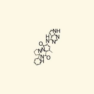 Cc1cc(Nc2ncnc3[nH]ccc23)c(=O)n2c1C(=O)NC1(c3ccccc3)CCCN21